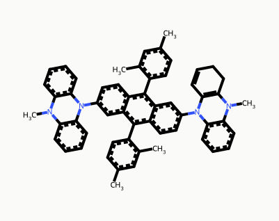 Cc1ccc(-c2c3ccc(N4c5ccccc5N(C)c5ccccc54)cc3c(-c3ccc(C)cc3C)c3ccc(N4C5=C(CCC=C5)N(C)c5ccccc54)cc23)c(C)c1